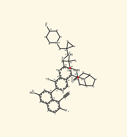 C#Cc1c(F)ccc2cc(O)cc(-c3ncc4c(N5CC6CCC(C5)N6C(=O)NCC(C)(C)O)nc(OCC5(CN6CCC(F)CC6)CC5)nc4c3F)c12